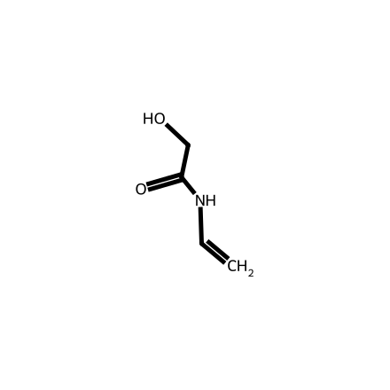 C=CNC(=O)CO